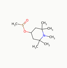 CN1C(C)(C)CC(OS(C)=O)CC1(C)C